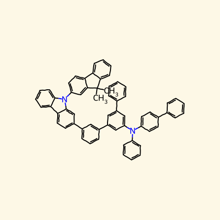 CC1(C)c2ccccc2-c2ccc(-n3c4ccccc4c4ccc(-c5cccc(-c6cc(-c7ccccc7)cc(N(c7ccccc7)c7ccc(-c8ccccc8)cc7)c6)c5)cc43)cc21